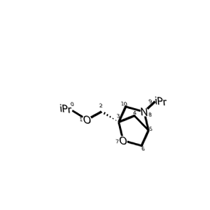 CC(C)OC[C@]12CC(CO1)N(C(C)C)C2